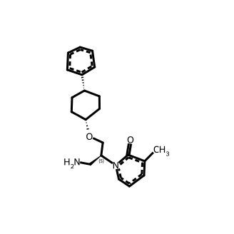 Cc1cccn([C@@H](CN)CO[C@H]2CC[C@@H](c3ccccc3)CC2)c1=O